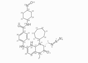 CN1C(=O)[C@@H](CN=[N+]=[N-])N(C2CCCCCC2)C2NC(Nc3ccc(C(=O)NC4CCC(N=O)CC4)cc3)=CC=C21